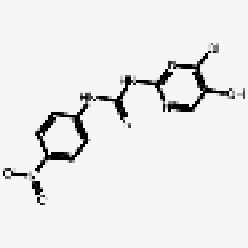 O=[N+]([O-])c1ccc(NC(=S)Nc2ncc(O)c(O)n2)cc1